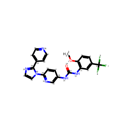 COc1ccc(C(F)(F)F)cc1NC(=O)Nc1ccc(-n2ccnc2-c2ccncc2)nc1